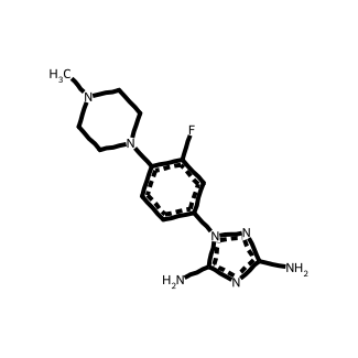 CN1CCN(c2ccc(-n3nc(N)nc3N)cc2F)CC1